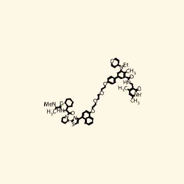 CCN(c1cc(-c2ccc(OCCOCCOCCOc3ccc(-c4csc([C@@H]5CCCN5C(=O)[C@@H](NC(=O)[C@H](C)NC)C5CCCCC5)n4)c4ccccc34)cc2)cc(C(=O)NCc2c(C)cc(C)[nH]c2=O)c1C)C1CCOCC1